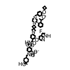 COc1cc(CN2CCN(C3CC4(C3)CN(c3ccc(C(=O)NS(=O)(=O)c5ccc(NCC6CCC(C)(O)CC6)c([N+](=O)[O-])c5)c(Oc5cnc6[nH]cc(F)c6c5)c3)C4)[C@H](c3ccccc3C(C)C)C2)ccc1OC1CCC1